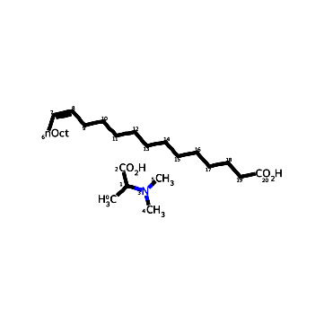 CC(C(=O)O)N(C)C.CCCCCCCC/C=C\CCCCCCCCCCCC(=O)O